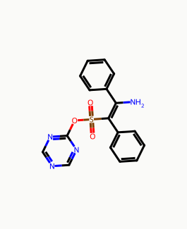 NC(=C(c1ccccc1)S(=O)(=O)Oc1ncncn1)c1ccccc1